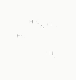 C=Cc1cc(CO)cc(N(C)C)c1